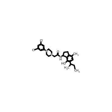 CCC(C)c1cc(C)c2c(c1O)C(NC(=O)CN1CCN(c3cc(Cl)cc(Cl)c3)CC1)CC2